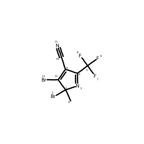 CC1(Br)N=C(C(F)(F)F)C(C#N)=C1Br